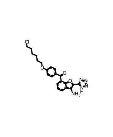 Nc1c(-c2nnn[nH]2)oc2c(C(=O)c3ccc(OCCCCCCCl)cc3)cccc12